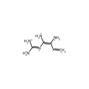 C=C/C(N)=C(/N)N=C(N)N